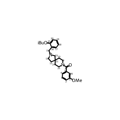 COc1cccc(C(=O)N2CCC3(CCN(Cc4ccccc4OCC(C)C)C3)CC2)c1